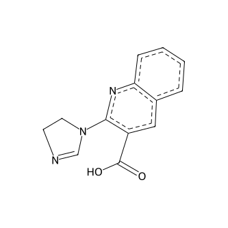 O=C(O)c1cc2ccccc2nc1N1C=NCC1